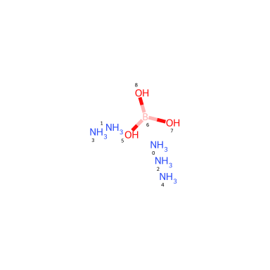 N.N.N.N.N.OB(O)O